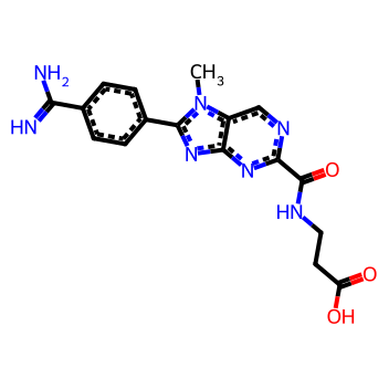 Cn1c(-c2ccc(C(=N)N)cc2)nc2nc(C(=O)NCCC(=O)O)ncc21